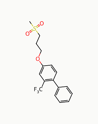 CS(=O)(=O)CCCOc1ccc(-c2ccccc2)c(C(F)(F)F)c1